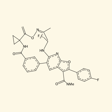 C=C(ON=C(C)C)C1(NC(=O)c2cccc(-c3cc4c(C(=O)NC)c(-c5ccc(F)cc5)oc4nc3NCC(F)(F)F)c2)CC1